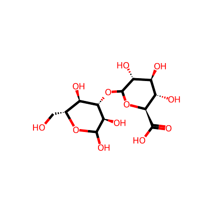 O=C(O)[C@H]1OC(O[C@H]2[C@H](O)[C@@H](CO)OC(O)[C@@H]2O)[C@H](O)[C@@H](O)[C@@H]1O